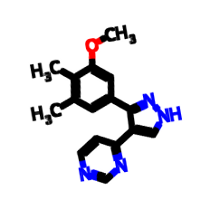 COc1cc(-c2n[nH]cc2-c2ccncn2)cc(C)c1C